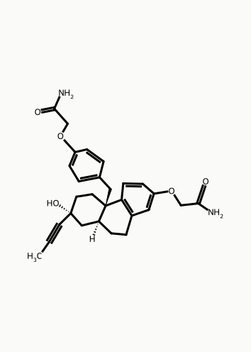 CC#C[C@@]1(O)CC[C@]2(Cc3ccc(OCC(N)=O)cc3)c3ccc(OCC(N)=O)cc3CC[C@H]2C1